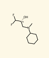 CN(C[C@@H](O)C(F)F)C1CCCCC1